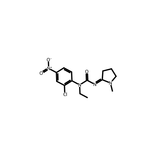 CCN(C(=O)N=C1CCCN1C)c1ccc([N+](=O)[O-])cc1Cl